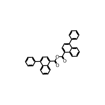 O=C(OC(=O)c1ccc(-c2ccccc2)c2ccccc12)c1ccc(-c2ccccc2)c2ccccc12